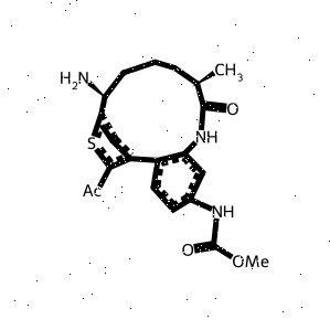 COC(=O)Nc1ccc2c(c1)NC(=O)[C@H](C)CCC[C@H](N)c1cc-2c(C(C)=O)s1